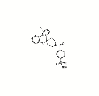 Cc1ccc2n1-c1ccccc1OC21CCN(C(=O)c2ccc(S(=O)(=O)C(C)(C)C)cc2)CC1